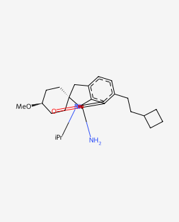 CO[C@H]1CC[C@]2(CC1)Cc1ccc(CCC3CCC3)cc1C21N=C(N)N(C(C)C)C1=O